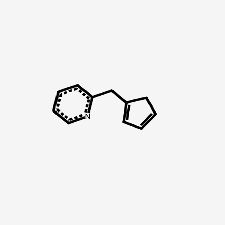 C1=CCC(Cc2ccccn2)=C1